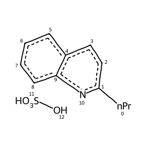 CCCc1ccc2ccccc2n1.O=S(=O)(O)O